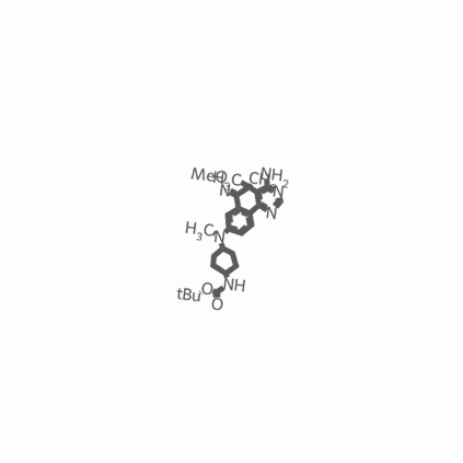 CON=C1c2cc(N(C)C3CCC(NC(=O)OC(C)(C)C)CC3)ccc2-c2ncnc(N)c2C1(C)C